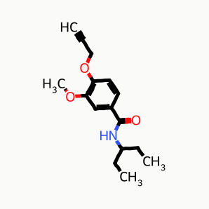 C#CCOc1ccc(C(=O)NC(CC)CC)cc1OC